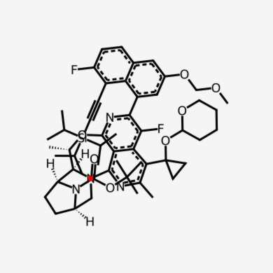 COCOc1cc(-c2nc3c4c(nc(C)c(C5(OC6CCCCO6)CC5)c4c2F)N2C[C@H]4CC[C@@H]([C@H]2[C@H](C)O3)N4C(=O)OC(C)(C)C)c2c(C#C[Si](C(C)C)(C(C)C)C(C)C)c(F)ccc2c1